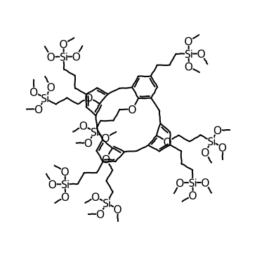 CO[Si](CCCOc1c2cc(CCC[Si](OC)(OC)OC)cc1Cc1cc(CCC[Si](OC)(OC)OC)cc(c1OCCC[Si](OC)(OC)OC)Cc1cc(CCC[Si](OC)(OC)OC)cc(c1OCCC[Si](OC)(OC)OC)Cc1cc(CCC[Si](OC)(OC)OC)cc(c1OCCC[Si](OC)(OC)OC)C2)(OC)OC